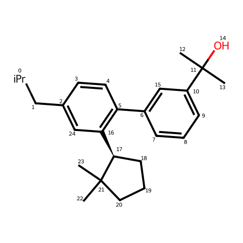 CC(C)Cc1ccc(-c2cccc(C(C)(C)O)c2)c([C@H]2CCCC2(C)C)c1